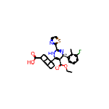 CCOC(=O)C1=C(C23C4C5C2C2C3C4C52C(=O)O)NC(c2nccs2)=N[C@H]1c1cccc(F)c1C